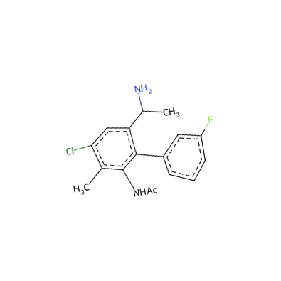 CC(=O)Nc1c(C)c(Cl)cc(C(C)N)c1-c1cccc(F)c1